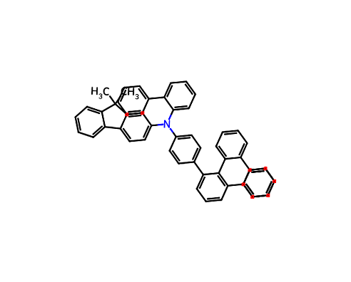 CC1(C)c2ccccc2-c2ccc(N(c3ccc(-c4cccc(-c5ccccc5)c4-c4ccccc4-c4ccccc4)cc3)c3ccccc3-c3ccccc3)cc21